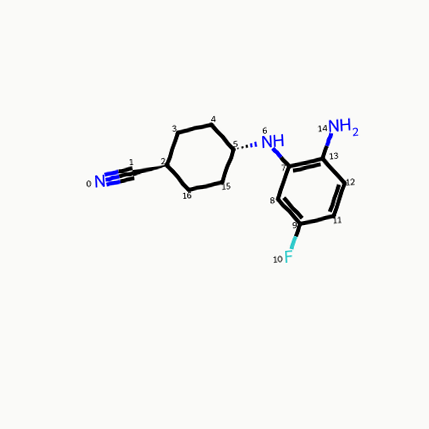 N#C[C@H]1CC[C@H](Nc2cc(F)ccc2N)CC1